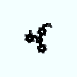 COc1ccc(-c2cc(-c3ncccn3)nn2C)cn1.Fc1ccccc1